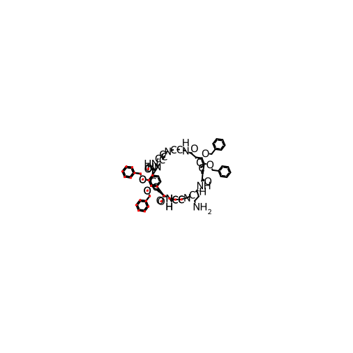 NCC[C@H]1CN2CCNC(=O)c3ccc(c(OCc4ccccc4)c3OCc3ccccc3)C(=O)NCCN(CCNC(=O)c3ccc(c(OCc4ccccc4)c3OCc3ccccc3)C(=O)NCC2)CCNC(=O)c2ccc(c(OCc3ccccc3)c2OCc2ccccc2)C(=O)N1